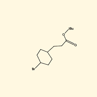 CC(C)(C)OC(=O)CCC1CCC(Br)CC1